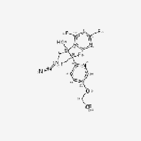 [N-]=[N+]=NCC(O)(c1ccc(F)cc1F)C(F)(F)c1ccc(OCC(F)(F)F)cn1